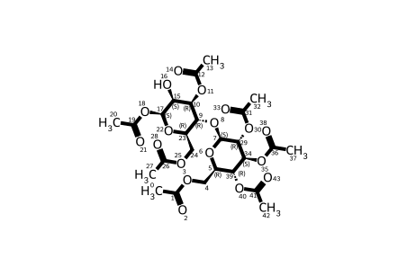 CC(=O)OC[C@H]1O[C@@H](O[C@H]2[C@H](OC(C)=O)[C@H](O)[C@H](OC(C)=O)O[C@@H]2COC(C)=O)[C@H](OC(C)=O)[C@@H](OC(C)=O)[C@@H]1OC(C)=O